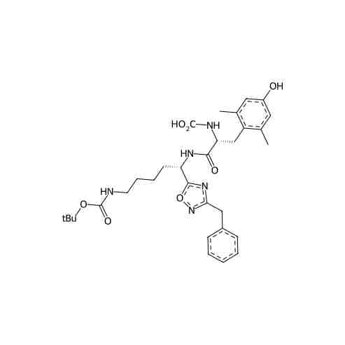 Cc1cc(O)cc(C)c1C[C@@H](NC(=O)O)C(=O)N[C@@H](CCCCNC(=O)OC(C)(C)C)c1nc(Cc2ccccc2)no1